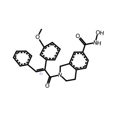 COc1cccc(/C(=C\c2ccccc2)C(=O)N2CCc3ccc(C(=O)NO)cc3C2)c1